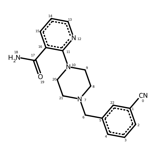 N#Cc1cccc(CN2CCN(c3nc[c]cc3C(N)=O)CC2)c1